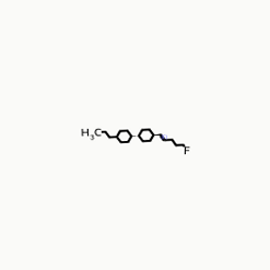 CCCC1CCC([C@H]2CC[C@H](/C=C/CCCF)CC2)CC1